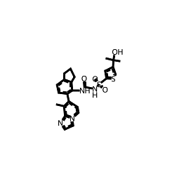 Cc1c(-c2ccc3c(c2NC(=O)NS(=O)(=O)c2cc(C(C)(C)O)cs2)CCC3)ccn2ccnc12